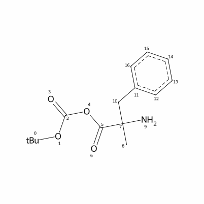 CC(C)(C)OC(=O)OC(=O)C(C)(N)Cc1ccccc1